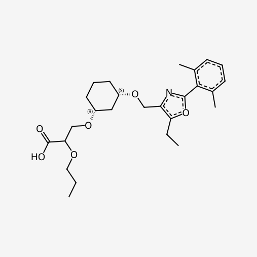 CCCOC(CO[C@@H]1CCC[C@H](OCc2nc(-c3c(C)cccc3C)oc2CC)C1)C(=O)O